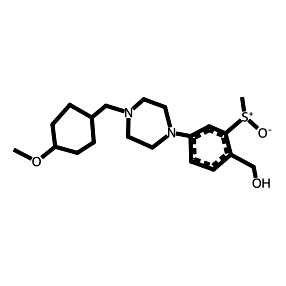 COC1CCC(CN2CCN(c3ccc(CO)c([S+](C)[O-])c3)CC2)CC1